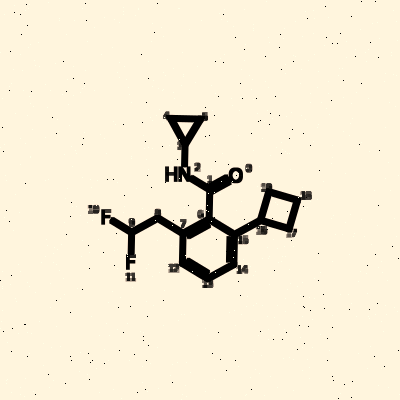 O=C(NC1CC1)c1c(CC(F)F)cccc1C1CCC1